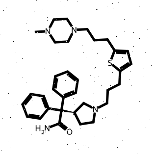 CN1CCN(CCCc2ccc(CCCN3CC[C@@H](C(C(N)=O)(c4ccccc4)c4ccccc4)C3)s2)CC1